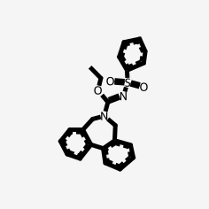 CCOC(=NS(=O)(=O)c1ccccc1)N1Cc2ccccc2-c2ccccc2C1